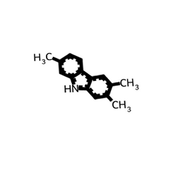 Cc1ccc2c(c1)[nH]c1cc(C)c(C)cc12